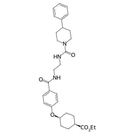 CCOC(=O)[C@H]1CC[C@@H](Oc2ccc(C(=O)NCCNC(=O)N3CCC(c4ccccc4)CC3)cc2)CC1